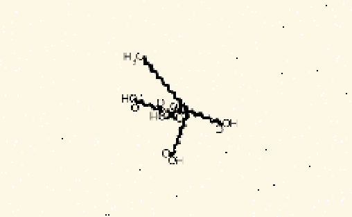 CCCCCCCCCCCCCCCCC(CCCCCCCCCC(=O)O)(CCCCCCCC(=O)O)C(=O)OCC(CO)(CO)COC(=O)CCCCC(=O)O